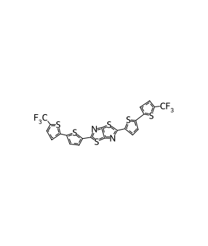 FC(F)(F)c1ccc(-c2ccc(-c3nc4sc(-c5ccc(-c6ccc(C(F)(F)F)s6)s5)nc4s3)s2)s1